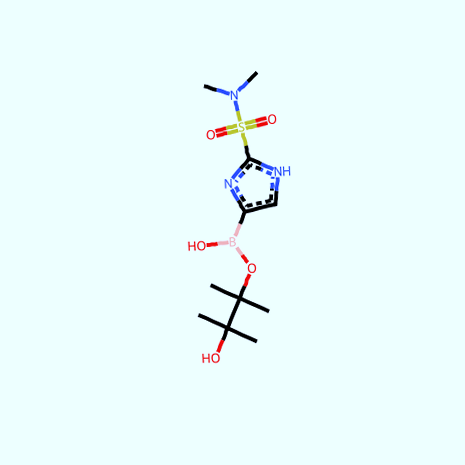 CN(C)S(=O)(=O)c1nc(B(O)OC(C)(C)C(C)(C)O)c[nH]1